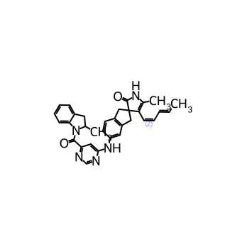 CC=C/C=C\C1=C(C)NC(=O)C12Cc1ccc(Nc3cc(C(=O)N4c5ccccc5CC4C)ncn3)cc1C2